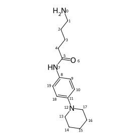 NCCCCC(=O)Nc1ccc(N2CCCCC2)cc1